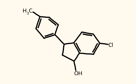 Cc1ccc(C2CC(O)c3cc(Cl)ccc32)cc1